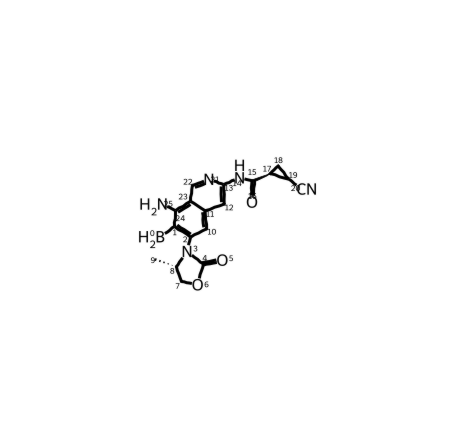 Bc1c(N2C(=O)OC[C@@H]2C)cc2cc(NC(=O)[C@H]3CC3C#N)ncc2c1N